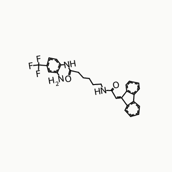 Nc1cc(C(F)(F)F)ccc1NC(=O)CCCCCNC(=O)C=C1c2ccccc2-c2ccccc21